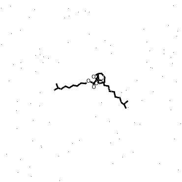 CC(C)CCCCCCCOC(=O)C12CCCCC1(C(=O)OCCCCCCCC(C)C)O2